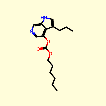 CCCCCCOC(=O)Oc1cncc2[nH]cc(CCC)c12